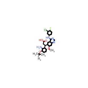 COc1cc2ncnc(Nc3ccc(F)c(Cl)c3)c2cc1C(CC(=O)O)c1cccc(OC(C)(C)C)c1N